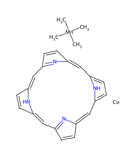 C1=Cc2cc3ccc(cc4nc(cc5ccc(cc1n2)[nH]5)C=C4)[nH]3.[CH3][Mn]([CH3])([CH3])[CH3].[Co]